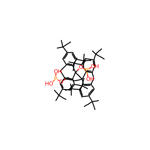 CC(C)(C)c1cc2c(c(C(C)(C)C)c1)C(CCOP(O)O)(C1(OP(O)O)c3c(cc(C(C)(C)C)cc3C(C)(C)C)Cc3cc(C(C)(C)C)cc(C(C)(C)C)c31)c1c(cc(C(C)(C)C)cc1C(C)(C)C)C2